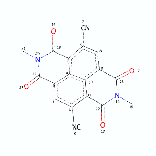 [C-]#[N+]c1cc2c3c(c(C#N)cc4c3c1C(=O)N(C)C4=O)C(=O)N(C)C2=O